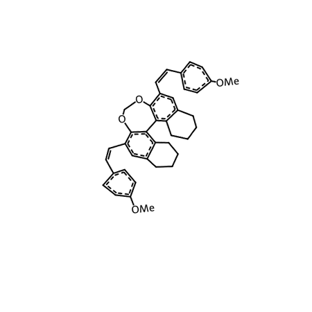 COc1ccc(/C=C\c2cc3c(c4c2OCOc2c(/C=C\c5ccc(OC)cc5)cc5c(c2-4)CCCC5)CCCC3)cc1